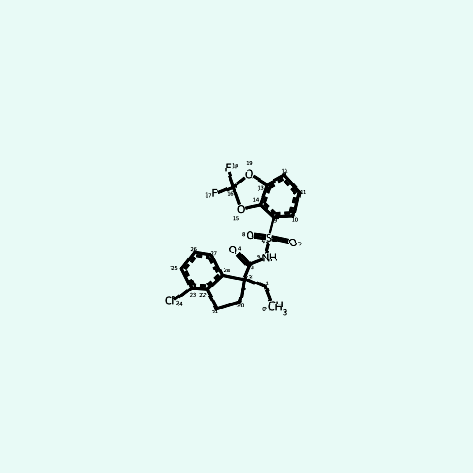 CCC1(C(=O)NS(=O)(=O)c2cccc3c2OC(F)(F)O3)CCc2c(Cl)cccc21